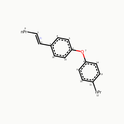 CCC/C=C/c1ccc(Oc2ccc(CCC)cc2)cc1